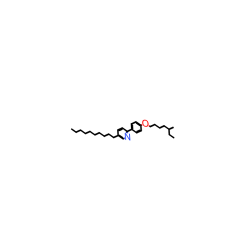 CCCCCCCCCCc1ccc(-c2ccc(OCCCCC(C)CC)cc2)nc1